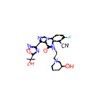 CC(C)(O)c1nc(-c2ncn3c2c(=O)n(CCN2CCCC(O)C2)c2c(C#N)c(F)ccc23)no1